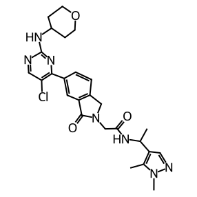 Cc1c(C(C)NC(=O)CN2Cc3ccc(-c4nc(NC5CCOCC5)ncc4Cl)cc3C2=O)cnn1C